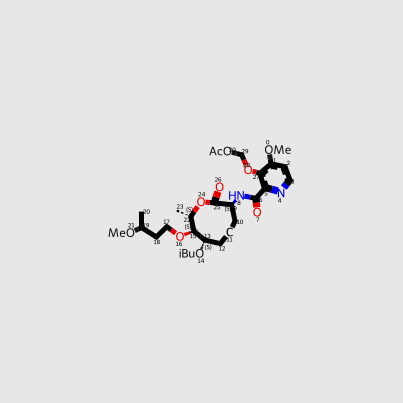 COc1ccnc(C(=O)N[C@H]2CCC[C@H](OCC(C)C)[C@@H](OCCC(C)OC)[C@H](C)OC2=O)c1OCOC(C)=O